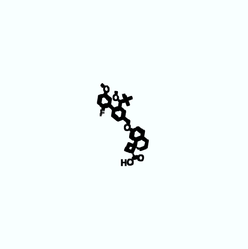 COc1ccc(F)c(-c2ccc(COc3ccc4c(c3)[C@]3(CCC4)CC[C@H]3C(=O)O)cc2[C@@H](OC)C(C)(C)C)c1